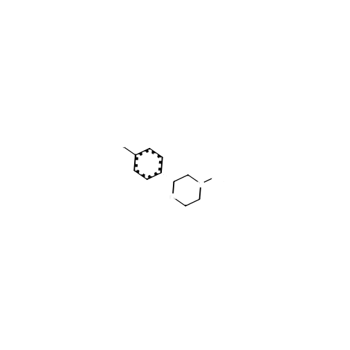 CCOC(=O)N1CCN[C@H](c2ccc(Cl)cc2)C1